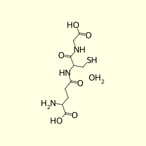 NC(CCC(=O)NC(CS)C(=O)NCC(=O)O)C(=O)O.O